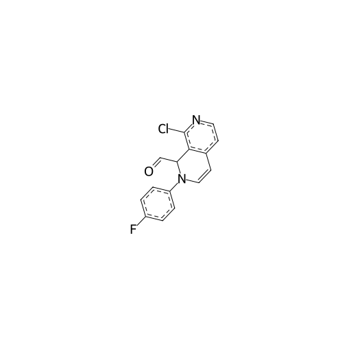 O=CC1c2c(ccnc2Cl)C=CN1c1ccc(F)cc1